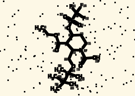 CCOC(=O)C1C(OS(=O)(=O)C(F)(F)F)CCN(C(=O)O)C1CO[Si](C)(C)C(C)(C)C